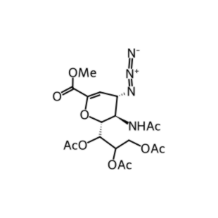 COC(=O)C1=C[C@H](N=[N+]=[N-])[C@@H](NC(C)=O)[C@H](C(OC(C)=O)C(COC(C)=O)OC(C)=O)O1